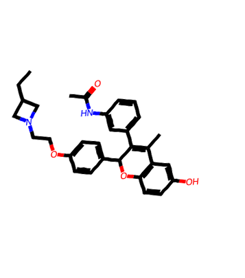 CCC1CN(CCOc2ccc(C3Oc4ccc(O)cc4C(C)=C3c3cccc(NC(C)=O)c3)cc2)C1